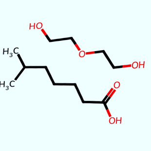 CC(C)CCCCC(=O)O.OCCOCCO